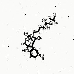 COc1ccc2[nH]c3c(c2c1)C1CN(C3)C(=O)N(CCCNC(=O)OC(C)(C)C)C1=O